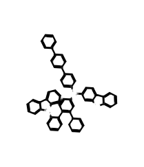 C1=CCC(c2cc(N(c3ccc(-c4ccc(-c5ccccc5)cc4)cc3)c3ccc4c(c3)sc3ccccc34)ccc2-c2ccccc2-n2c3ccccc3c3ccccc32)C=C1